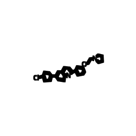 Clc1ccc(-c2ccc3nc(-c4cccc(OCCN5CCCC5)c4)ccc3c2)cc1